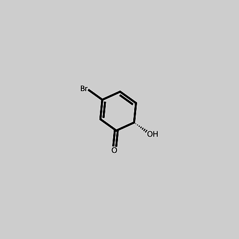 O=C1C=C(Br)C=C[C@@H]1O